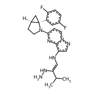 CC(C)/C(=C/Nc1cnn2ccc(N3CC[C@H]4C[C@]43c3cc(F)ccc3F)nc12)NN